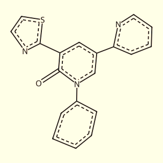 O=c1c(-c2nccs2)cc(-c2ccccn2)cn1-c1ccccc1